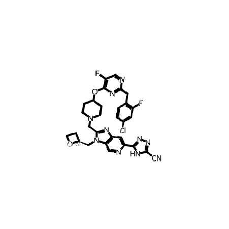 N#Cc1nnc(-c2cc3nc(CN4CCC(Oc5nc(Cc6ccc(Cl)cc6F)ncc5F)CC4)n(C[C@@H]4CCO4)c3cn2)[nH]1